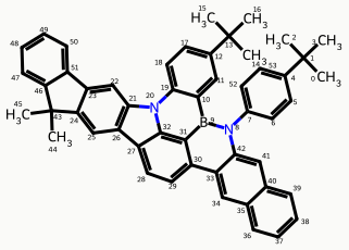 CC(C)(C)c1ccc(N2B3c4cc(C(C)(C)C)ccc4-n4c5cc6c(cc5c5ccc(c3c54)-c3cc4ccccc4cc32)C(C)(C)c2ccccc2-6)cc1